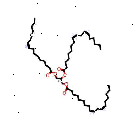 CCCCC/C=C\C/C=C\CCCCCCCC(=O)OC[C@@H](COC(=O)CCCCCCC/C=C\CCCCCC)OC(=O)CCCCCCC/C=C\C/C=C\CCCCC